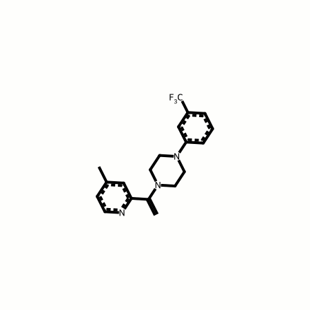 C=C(c1cc(C)ccn1)N1CCN(c2cccc(C(F)(F)F)c2)CC1